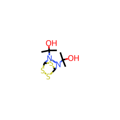 CC(C)(O)N1C2SSC(S2)N1C(C)(C)O